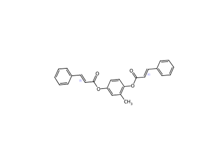 Cc1cc(OC(=O)/C=C/c2ccccc2)ccc1OC(=O)/C=C/c1ccccc1